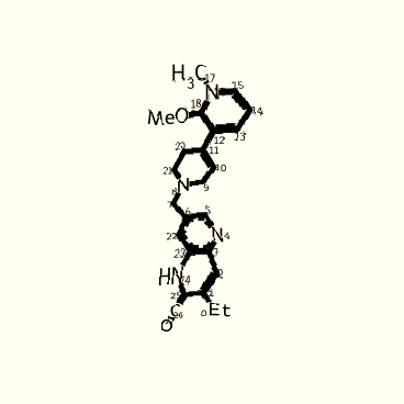 CCC1=Cc2ncc(CN3CC=C(C4=CC=CN(C)C4OC)CC3)cc2NC1=C=O